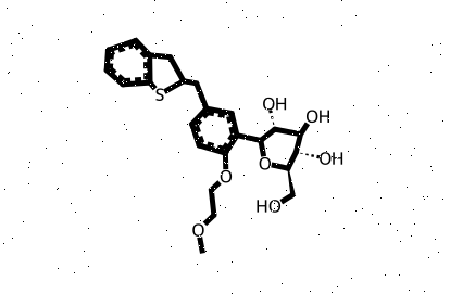 COCCOc1ccc(CC2Cc3ccccc3S2)cc1C1O[C@H](CO)[C@@H](O)C(O)[C@H]1O